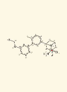 Cc1ccc(C23CC(C)CC(C2)N3C(N)=O)cc1-c1cc(OCF)cnn1